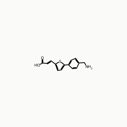 NCc1ccc(-c2ccc(/C=C/C(=O)O)s2)cc1